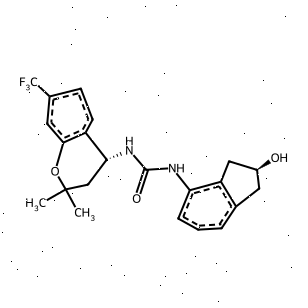 CC1(C)C[C@@H](NC(=O)Nc2cccc3c2C[C@@H](O)C3)c2ccc(C(F)(F)F)cc2O1